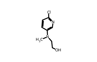 CN(CCO)c1ccc(Cl)nc1